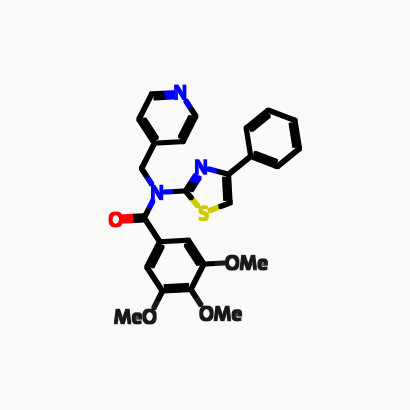 COc1cc(C(=O)N(Cc2ccncc2)c2nc(-c3ccccc3)cs2)cc(OC)c1OC